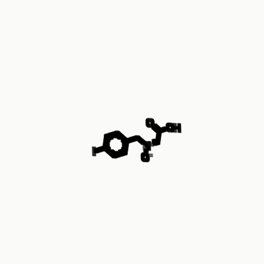 O=C(O)/C=[N+](/[O-])Cc1ccc(I)cc1